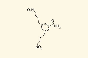 NC(=O)c1cc(CCCC[N+](=O)[O-])cc(CCCC[N+](=O)[O-])c1